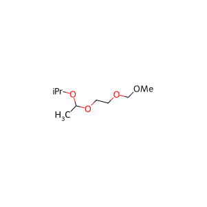 COCOCCOC(C)OC(C)C